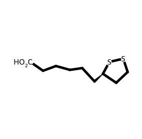 O=C(O)CCCCC[C@@H]1CCSS1